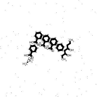 C.CC.CCCC(O)CC(O)CC.O=C(O)c1ccccc1.O=C(O)c1ccccc1.O=C(O)c1ccccc1.O=C(O)c1ccccc1.c1ccccc1